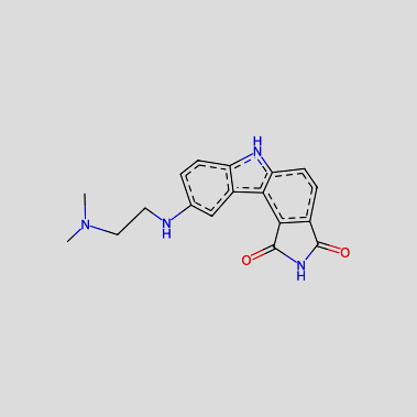 CN(C)CCNc1ccc2[nH]c3ccc4c(c3c2c1)C(=O)NC4=O